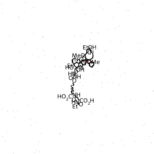 CCC(=O)N[C@@H](CC(=O)N[C@@H](CSSCCOC(=O)NNOC[C@]1(O)C2N(C)c3cc(OC)c([C@@]4(C(=O)OC)CC5CN(CCc6c4[nH]c4ccccc64)C[C@](O)(CC)C5)cc3C23CCN2CC=C[C@](CC)(C23)[C@H]1O)C(=O)O)C(=O)O